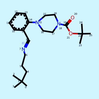 CC(C)(C)CCC/N=C/c1ccccc1N1CCN(C(=O)OC(C)(C)C)CC1